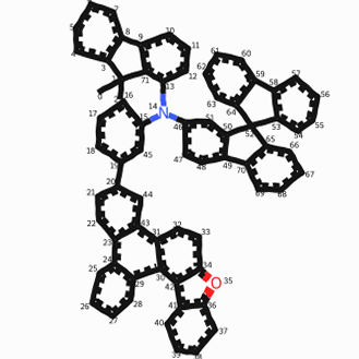 CC1(C)c2ccccc2-c2cccc(N(c3cccc(-c4ccc5c6ccccc6c6c(ccc7oc8ccccc8c76)c5c4)c3)c3ccc4c(c3)C3(c5ccccc5-c5ccccc53)c3ccccc3-4)c21